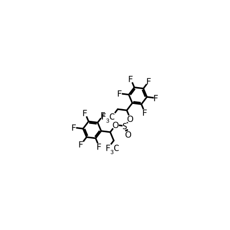 O=S(OC(CC(F)(F)F)c1c(F)c(F)c(F)c(F)c1F)OC(CC(F)(F)F)c1c(F)c(F)c(F)c(F)c1F